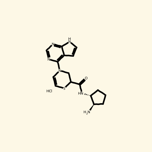 Cl.N[C@@H]1CCC[C@H]1NC(=O)C1CN(c2ncnc3[nH]ccc23)C=CS1